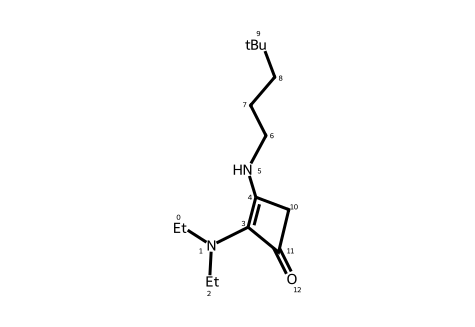 CCN(CC)C1=C(NCCCC(C)(C)C)CC1=O